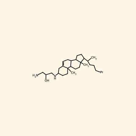 CC(C)CCCC(C)C1CCC2C3CC=C4CC(NCC(O)CN)CCC4(C)C3CCC12C